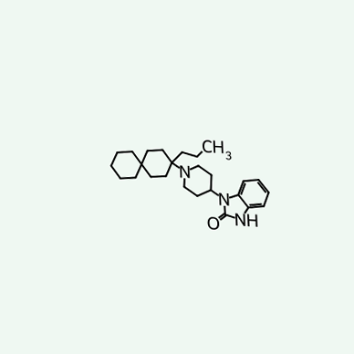 CCCC1(N2CCC(n3c(=O)[nH]c4ccccc43)CC2)CCC2(CCCCC2)CC1